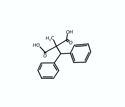 CC(C(=O)O)(C(=O)O)C(c1ccccc1)c1ccccc1